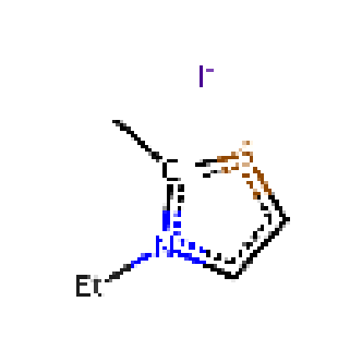 CCn1ccs[c+]1C.[I-]